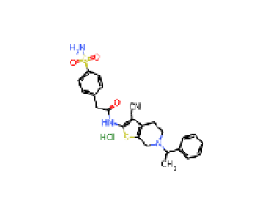 CC(c1ccccc1)N1CCc2c(sc(NC(=O)Cc3ccc(S(N)(=O)=O)cc3)c2C#N)C1.Cl